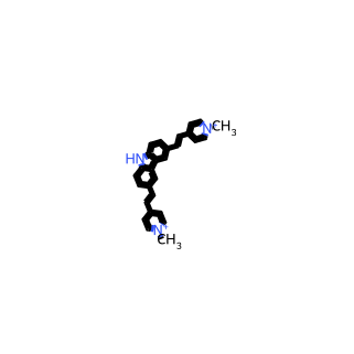 C[n+]1ccc(/C=C/c2ccc3[nH]c4ccc(/C=C/c5cc[n+](C)cc5)cc4c3c2)cc1